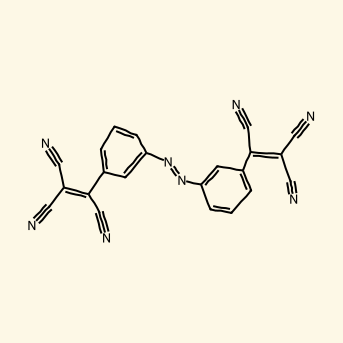 N#CC(C#N)=C(C#N)c1cccc(N=Nc2cccc(C(C#N)=C(C#N)C#N)c2)c1